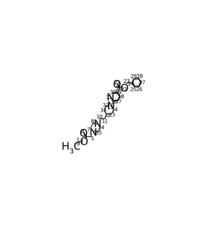 CCOC(=O)CN1CCN(CCC2CCN(c3ccc(C(=O)OCc4ccccc4)cn3)CC2)CC1